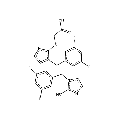 Fc1cc(F)cc(Cn2ccnc2S)c1.O=C(O)CSc1nccn1Cc1cc(F)cc(F)c1